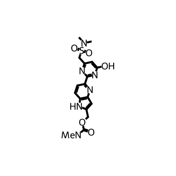 CNC(=O)OCc1cc2nc(-c3nc(O)cc(CS(=O)(=O)N(C)C)n3)ccc2[nH]1